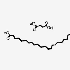 CCCCCCCC/C=C\CCCCCCCCCCCC(=O)OC.COC(=O)CCC(=O)O